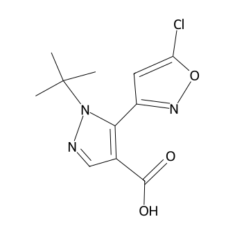 CC(C)(C)n1ncc(C(=O)O)c1-c1cc(Cl)on1